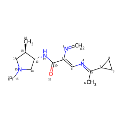 C=N/C(=C\N=C(/C)C1CC1)C(=O)N[C@@H]1CN(C(C)C)C[C@H]1C